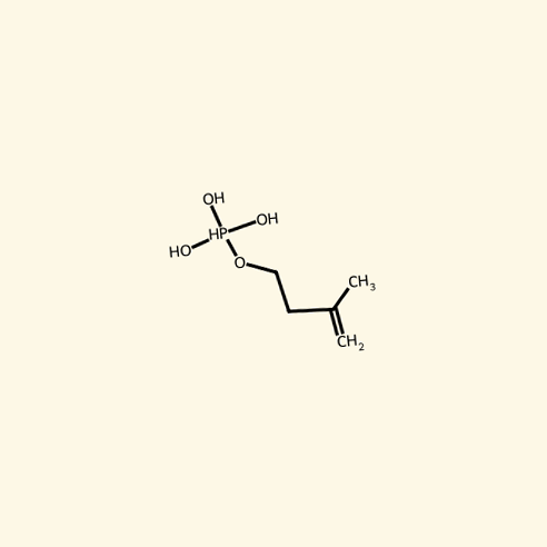 C=C(C)CCO[PH](O)(O)O